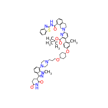 Cc1cc(OC2CCC(OCCCN3CCN(c4cccc5c(C6CCC(=O)NC6=O)nn(C)c45)CC3)CC2)ccc1-c1ccc(N2CCc3cccc(C(=O)Nc4nc5ccccc5s4)c3C2)nc1C(=O)OC(C)(C)C